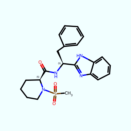 CS(=O)(=O)N1CCCC[C@H]1C(=O)N[C@@H](Cc1ccccc1)c1nc2ccccc2[nH]1